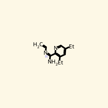 C=C/N=C(/N)c1ncc(CC)cc1CC